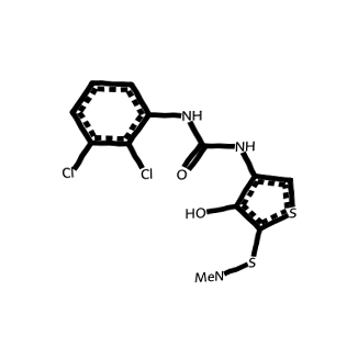 CNSc1scc(NC(=O)Nc2cccc(Cl)c2Cl)c1O